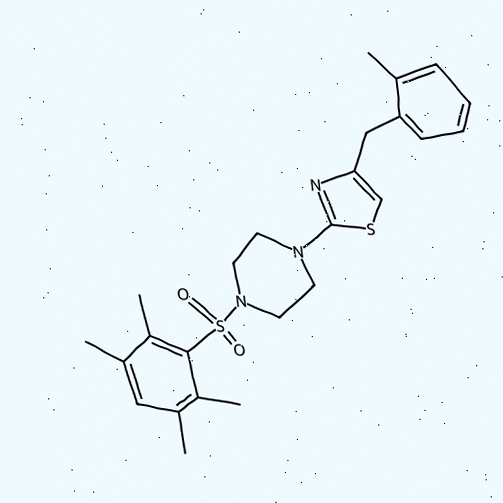 Cc1ccccc1Cc1csc(N2CCN(S(=O)(=O)c3c(C)c(C)cc(C)c3C)CC2)n1